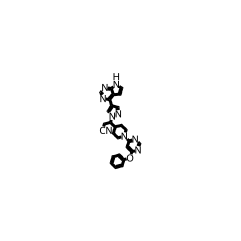 N#CCC(C1CCN(c2cc(Oc3ccccc3)ncn2)CC1)n1cc(-c2ncnc3[nH]ccc23)cn1